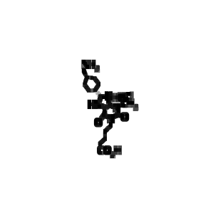 Cl.Cl.Cn1c(=O)n(CCCCC(=O)O)c(=O)c2[nH]c([C@H]3CC[C@H](CN)CC3)nc21